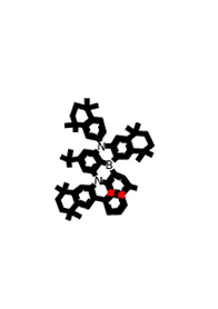 Cc1ccc2c(c1)B1c3cc4c(cc3N(c3ccc5c(c3)C(C)(C)CCC5(C)C)c3cc(C(C)(C)C)cc(c31)N2c1cc2c(cc1-c1ccccc1)C(C)(C)CCC2(C)C)C(C)(C)CCC4(C)C